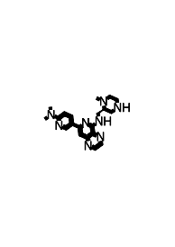 CN(C)c1ccc(-c2cc3nccnc3c(NC[C@@H]3CNCCN3C)n2)cn1